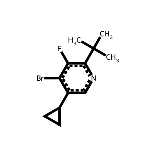 CC(C)(C)c1ncc(C2CC2)c(Br)c1F